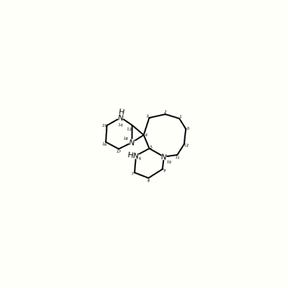 C1CCCC2(C3NCCCN3CC1)C1NCCCN12